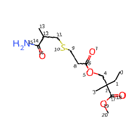 CCC(C)(COC(=O)CCSCC(C)C(N)=O)C(=O)OC